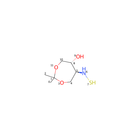 CC1(C)OC[C@H](NS)[C@@H](O)CO1